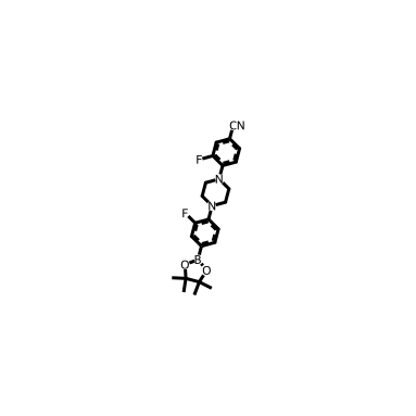 CC1(C)OB(c2ccc(N3CCN(c4ccc(C#N)cc4F)CC3)c(F)c2)OC1(C)C